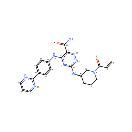 C=CC(=O)N1CCC[C@@H](Nc2nnc(C(N)=O)c(Nc3ccc(-c4ncccn4)cc3)n2)C1